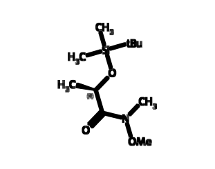 CON(C)C(=O)[C@@H](C)O[Si](C)(C)C(C)(C)C